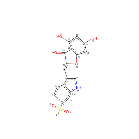 CS(=O)(=O)c1ccc2c(C=C3Oc4cc(O)cc(O)c4C3=O)c[nH]c2c1